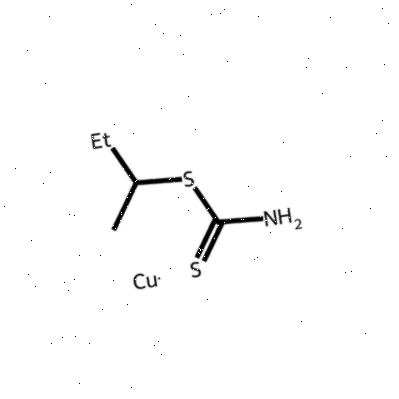 CCC(C)SC(N)=S.[Cu]